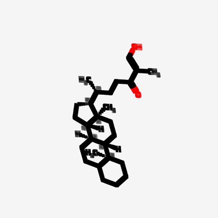 CC(=CO)C(=O)CC[C@@H](C)[C@H]1CC[C@H]2[C@@H]3CCC4CCCC[C@]4(C)[C@H]3CC[C@]12C